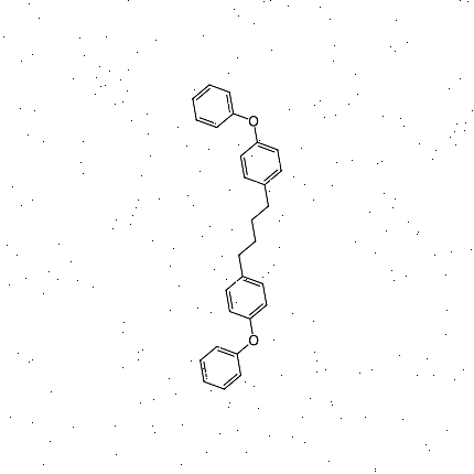 c1ccc(Oc2ccc(CCCCc3ccc(Oc4ccccc4)cc3)cc2)cc1